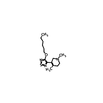 CCCCCCOc1nsnc1C1=C(C)CCN(C)C1